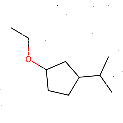 CCOC1CCC(C(C)C)C1